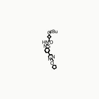 CC(C)(C)OC1CC(C(=O)Nc2nc3ccc(-c4cnc(COC5CCCC5)nc4)cc3s2)C1